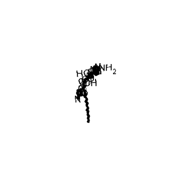 CCCCCCCCCCCCCCOC[C@H](COP(=O)(O)OC[C@@]1(C)OCC(O)(c2ccc3c(N)ncnn23)[C@@H]1O)Oc1ccc(C#N)cn1